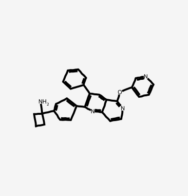 NC1(c2ccc(-c3nc4ccnc(Oc5cccnc5)c4cc3-c3ccccc3)cc2)CCC1